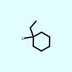 [Li][C]1(CC)CCCCC1